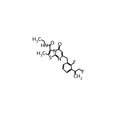 C=C(CF)c1cccc(Cc2cc(=O)n3c(C(=O)NCC)c(C)sc3n2)c1F